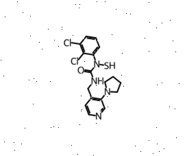 O=C(NCc1ccncc1N1CCCC1)N(S)c1cccc(Cl)c1Cl